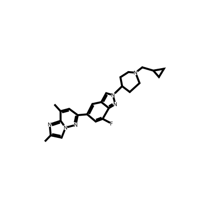 Cc1cn2nc(-c3cc(F)c4nn(C5CCN(CC6CC6)CC5)cc4c3)cc(C)c2n1